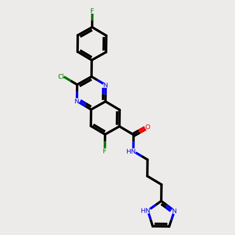 O=C(NCCCc1ncc[nH]1)c1cc2nc(-c3ccc(F)cc3)c(Cl)nc2cc1F